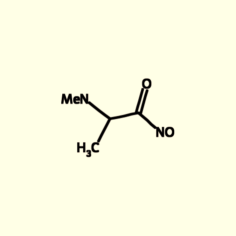 CNC(C)C(=O)N=O